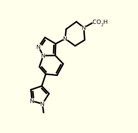 Cn1cc(-c2ccc3c(N4CCN(C(=O)O)CC4)cnn3c2)cn1